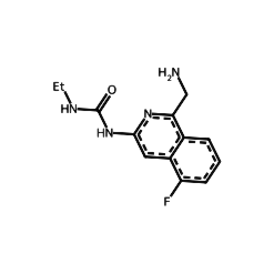 CCNC(=O)Nc1cc2c(F)cccc2c(CN)n1